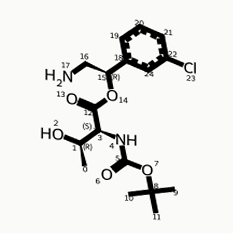 C[C@@H](O)[C@H](NC(=O)OC(C)(C)C)C(=O)O[C@@H](CN)c1cccc(Cl)c1